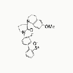 COc1ccc2c(c1)CCCN2C1CCCN(c2ccc(-c3ccccc3[S+](C)[O-])cc2F)C1=O